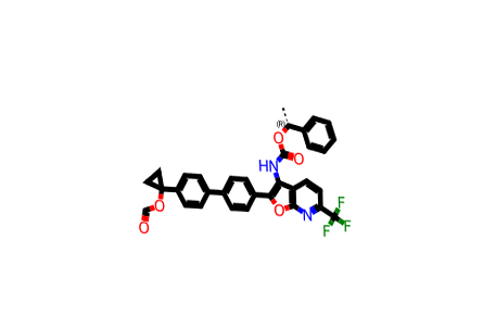 C[C@@H](OC(=O)Nc1c(-c2ccc(-c3ccc(C4(OC=O)CC4)cc3)cc2)oc2nc(C(F)(F)F)ccc12)c1ccccc1